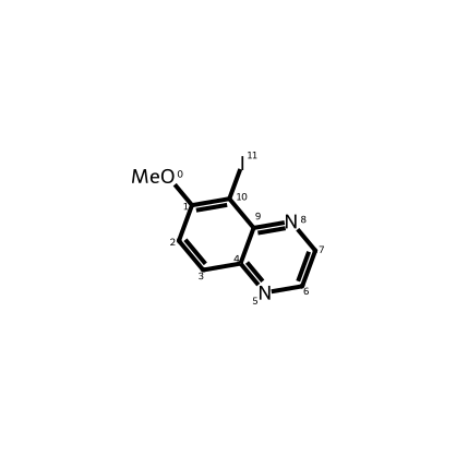 COc1ccc2nccnc2c1I